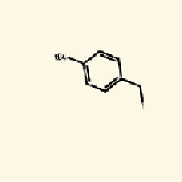 CC(C)(C)c1ccc(CI)cc1